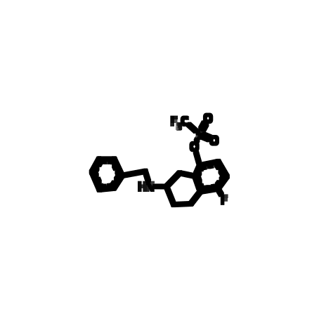 O=S(=O)(Oc1ccc(F)c2c1CC(NCc1ccccc1)CC2)C(F)(F)F